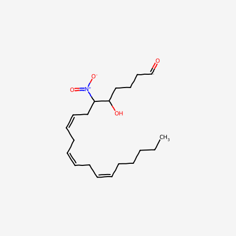 CCCCC/C=C\C/C=C\C/C=C\CC(C(O)CCC[C]=O)[N+](=O)[O-]